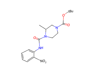 CC1CN(C(=O)OC(C)(C)C)CCN1C(=O)Nc1ccccc1[N+](=O)[O-]